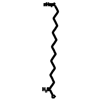 CCCCCCCCCCCCCCCCCC[SiH2][O]